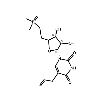 C=CCc1cn([C@@H]2OC(CCP(=C)(C)C)[C@@H](O)[C@H]2O)c(=O)[nH]c1=O